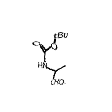 CC([C]=O)NC(=O)OC(C)(C)C